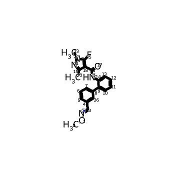 CO/N=C/c1cccc(-c2ccccc2NC(=O)c2c(C)nn(C)c2F)c1